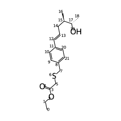 CCOC(=O)CSCc1ccc(/C=C/C[C@@H](C)[C@H](C)O)cc1